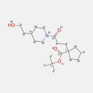 CC(C)(C)OC(=O)C1(CCC(=O)N2CCC(CCO)CC2)CCCC1